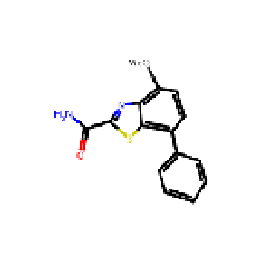 COc1ccc(-c2ccccc2)c2sc(C(N)=O)nc12